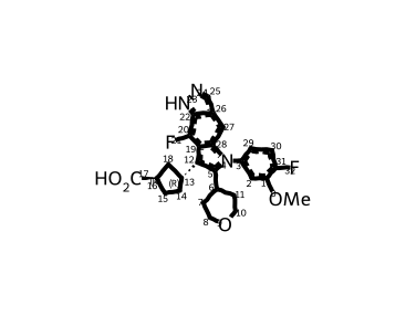 COc1cc(-n2c(C3CCOCC3)c([C@@H]3CC[C@@H](C(=O)O)C3)c3c(F)c4[nH]ncc4cc32)ccc1F